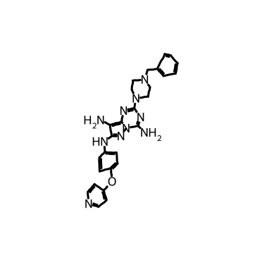 Nc1c(Nc2ccc(Oc3ccncc3)cc2)nn2c(N)nc(N3CCN(Cc4ccccc4)CC3)nc12